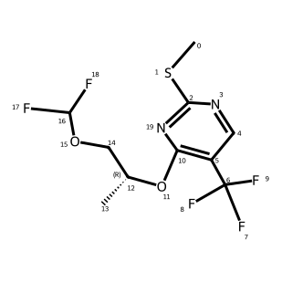 CSc1ncc(C(F)(F)F)c(O[C@H](C)COC(F)F)n1